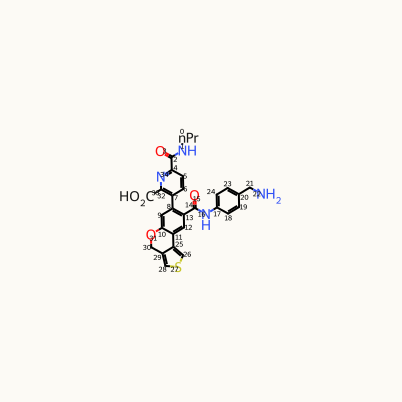 CCCNC(=O)c1ccc(-c2cc3c(cc2C(=O)Nc2ccc(CN)cc2)-c2cscc2CO3)c(C(=O)O)n1